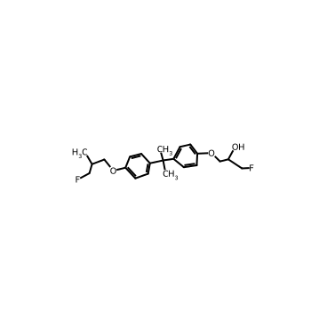 CC(CF)COc1ccc(C(C)(C)c2ccc(OCC(O)CF)cc2)cc1